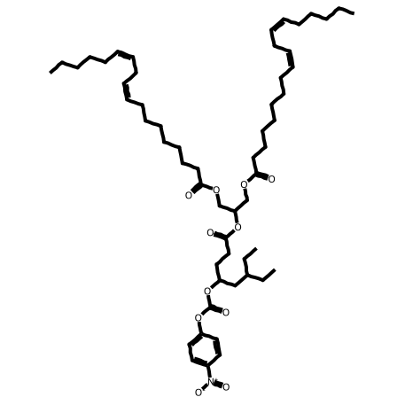 CCCCC/C=C\C/C=C\CCCCCCCC(=O)OCC(COC(=O)CCCCCCC/C=C\C/C=C\CCCCC)OC(=O)CCC(CC(CC)CC)OC(=O)Oc1ccc([N+](=O)[O-])cc1